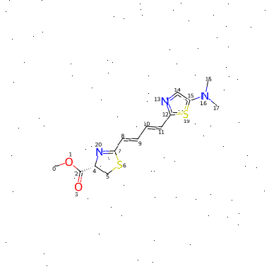 COC(=O)[C@H]1CSC(/C=C/C=C/c2ncc(N(C)C)s2)=N1